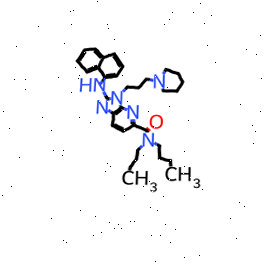 CCCCN(CCCC)C(=O)c1ccc2nc(Nc3cccc4ccccc34)n(CCCN3CCCCC3)c2n1